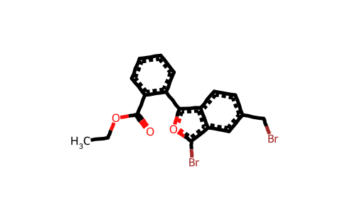 CCOC(=O)c1ccccc1-c1oc(Br)c2cc(CBr)ccc12